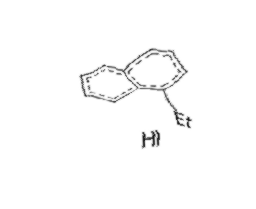 CCc1cccc2ccccc12.I